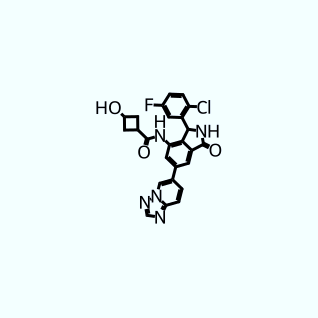 O=C1NC(c2cc(F)ccc2Cl)c2c(NC(=O)C3CC(O)C3)cc(-c3ccc4ncnn4c3)cc21